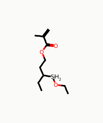 C=C(C)C(=O)OCCC(CC)[SiH2]OCC